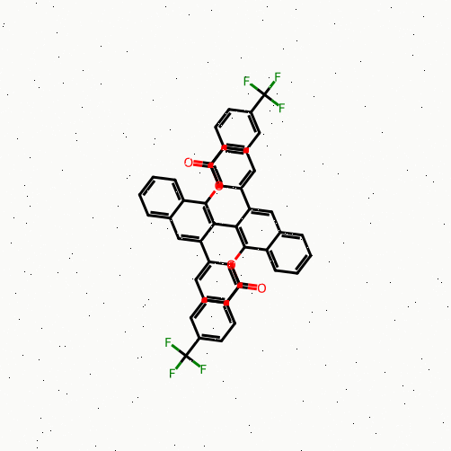 O=C(Oc1c(-c2c(-c3ccccc3)cc3ccccc3c2OC(=O)c2ccc(C(F)(F)F)cc2)c(-c2ccccc2)cc2ccccc12)c1ccc(C(F)(F)F)cc1